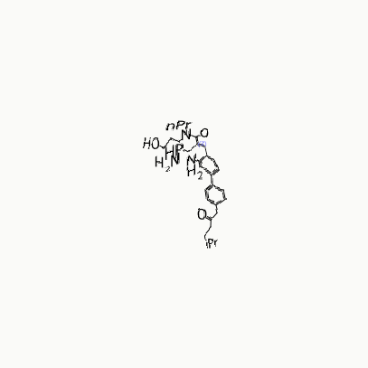 CCCN(CCCO)C(=O)/C(=C/c1ccc(-c2ccc(CC(=O)CCC(C)C)cc2)cc1N)CPN